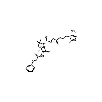 Cc1ncc([N+](=O)[O-])n1CCOC(=O)COC(=O)[C@@H]1N2C(=O)[C@@H](NC(=O)COc3ccccc3)[C@H]2SC1(C)C